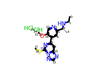 CCN[C@H](C)c1cc(-c2cc3ncnn3c(SC)n2)c(OC)cn1.Cl.Cl